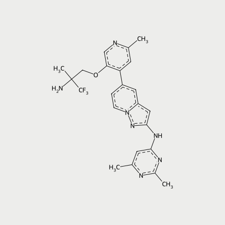 Cc1cc(-c2ccn3nc(Nc4cc(C)nc(C)n4)cc3c2)c(OCC(C)(N)C(F)(F)F)cn1